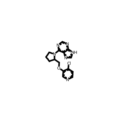 Clc1ccncc1OCC1CCCN1c1ncnc2[nH]cnc12